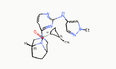 CCn1cc(Nc2nccc(N3CC4CC[C@H](C3)N4C(=O)[C@@H]3C[C@H]3C#N)n2)cn1